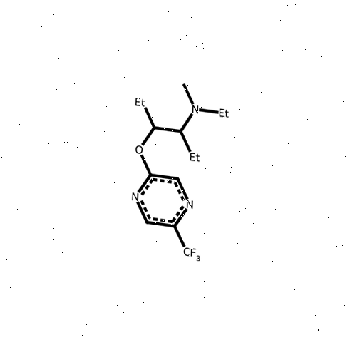 CCC(Oc1cnc(C(F)(F)F)cn1)C(CC)N(C)CC